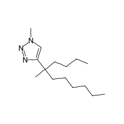 CCCCCCC(C)(CCCC)c1cn(C)nn1